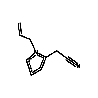 C=CCn1cccc1CC#N